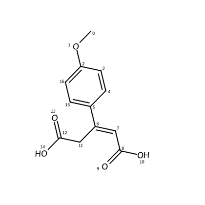 COc1ccc(C(=CC(=O)O)CC(=O)O)cc1